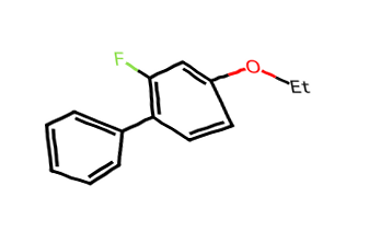 CCOc1ccc(-c2ccccc2)c(F)c1